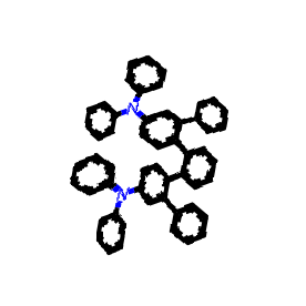 c1ccc(-c2cc(N(c3ccccc3)c3ccccc3)ccc2-c2ccccc2-c2ccc(N(c3ccccc3)c3ccccc3)cc2-c2ccccc2)cc1